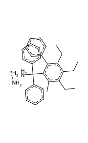 CCc1c(C)c(C(N)(c2ccccc2)c2ccccc2)c(-c2ccccc2)c(CC)c1CC.NP